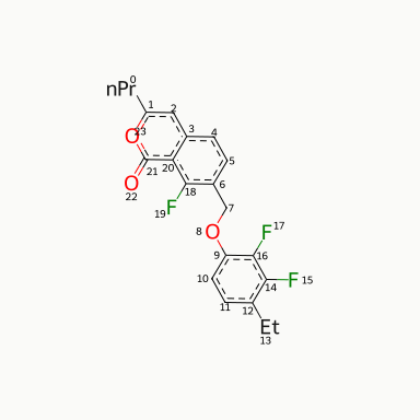 CCCc1cc2ccc(COc3ccc(CC)c(F)c3F)c(F)c2c(=O)o1